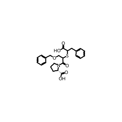 O=C(O)C(Cc1ccccc1)SC(COCc1ccccc1)C(=O)N1CCC[C@H]1C(=O)O